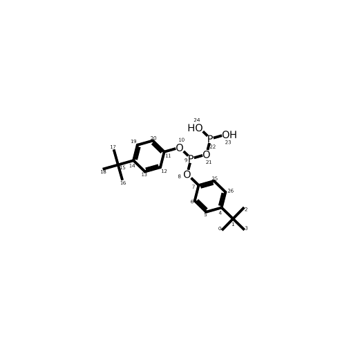 CC(C)(C)c1ccc(OP(Oc2ccc(C(C)(C)C)cc2)OP(O)O)cc1